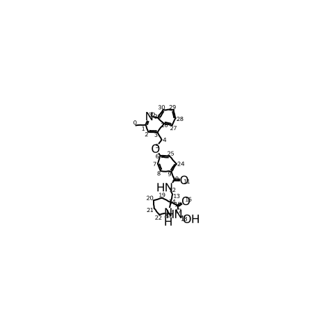 Cc1cc(COc2ccc(C(=O)NCC3(C(=O)NO)CCCCN3)cc2)c2ccccc2n1